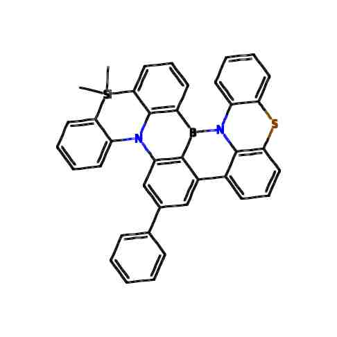 C[Si]1(C)c2ccccc2N2c3cc(-c4ccccc4)cc4c3B(c3cccc1c32)N1c2ccccc2Sc2cccc-4c21